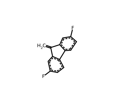 C=C1c2cc(F)ccc2-c2ccc(F)cc21